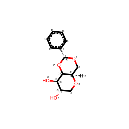 O[C@H]1CO[C@@H]2CO[C@@H](c3ccccc3)OC2[C@@H]1O